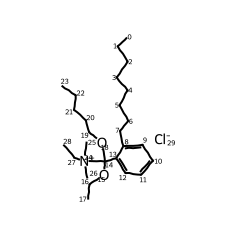 CCCCCCCCc1ccccc1C(OCC)(OCCCCC)[N+](C)(C)CC.[Cl-]